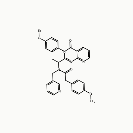 CCOc1ccc(-n2c(C(C)N(Cc3cccnc3)C(=O)Cc3ccc(OC(F)(F)F)cc3)nc3ncccc3c2=O)cc1